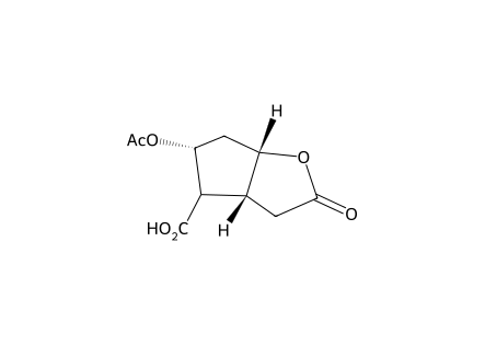 CC(=O)O[C@@H]1C[C@@H]2OC(=O)C[C@@H]2C1C(=O)O